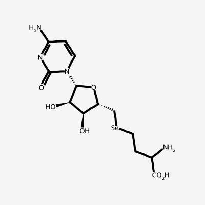 Nc1ccn([C@@H]2O[C@H](C[Se]CCC(N)C(=O)O)[C@@H](O)[C@H]2O)c(=O)n1